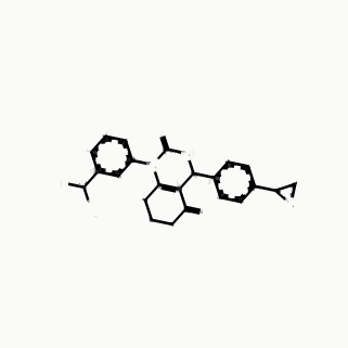 O=C1CCCC2=C1C(c1ccc(C3CN3)cc1)NC(=O)N2c1cccc(C(F)F)c1